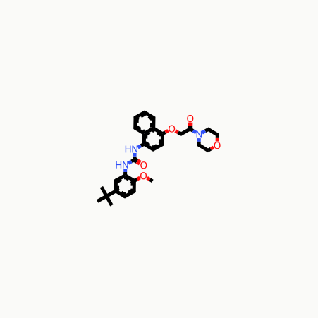 COc1ccc(C(C)(C)C)cc1NC(=O)Nc1ccc(OCC(=O)N2CCOCC2)c2ccccc12